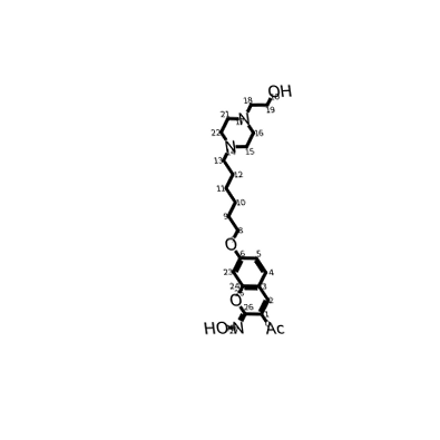 CC(=O)c1cc2ccc(OCCCCCCN3CCN(CCO)CC3)cc2oc1=NO